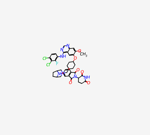 COc1cc2ncnc(Nc3ccc(Cl)c(Cl)c3F)c2cc1OC1CCC(CN2CC3CCC(C2)N3c2ccc3c(c2)C(=O)N(C2CCC(=O)NC2=O)C3=O)CC1